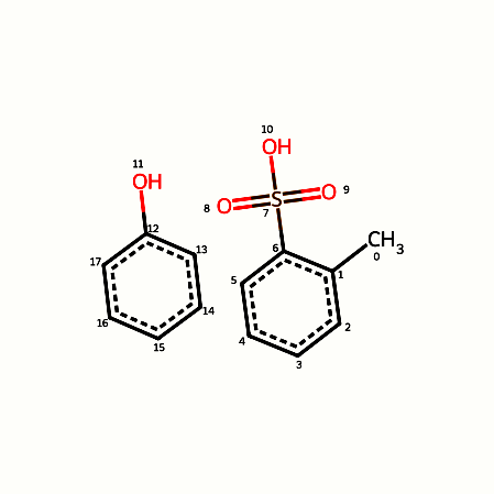 Cc1ccccc1S(=O)(=O)O.Oc1ccccc1